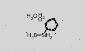 B[SiH2]c1ccccc1.O.O